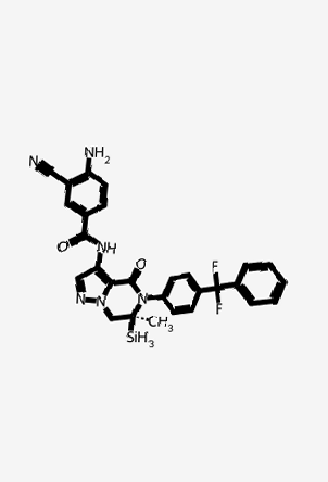 C[C@]1([SiH3])Cn2ncc(NC(=O)c3ccc(N)c(C#N)c3)c2C(=O)N1c1ccc(C(F)(F)c2ccccc2)cc1